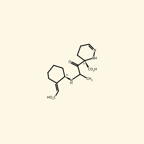 CC(N[C@@H]1CCCCC1=CC(=O)O)C(=O)[C@]1(C(=O)O)CCC=NN1